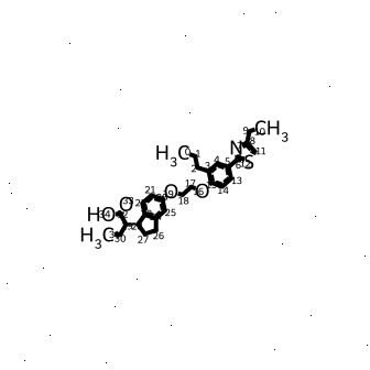 CCCc1cc(-c2nc(CC)cs2)ccc1OCCOc1ccc2c(c1)CC[C@H]2C(CC)C(=O)O